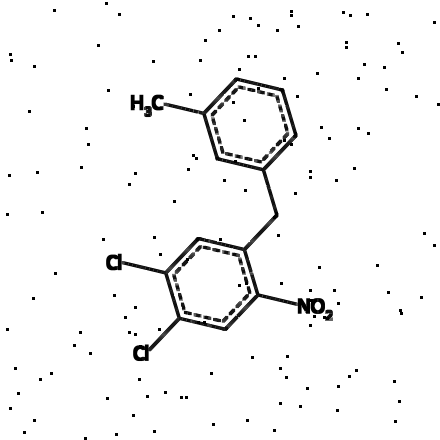 Cc1cccc(Cc2cc(Cl)c(Cl)cc2[N+](=O)[O-])c1